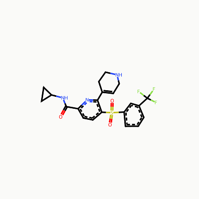 O=C(NC1CC1)c1ccc(S(=O)(=O)c2cccc(C(F)(F)F)c2)c(C2=CCNCC2)n1